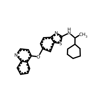 CC(Nc1nc2ccc(Oc3ccnc4ccccc34)cc2s1)C1CCCCC1